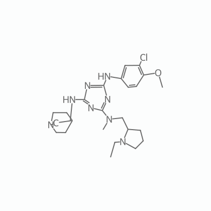 CCN1CCCC1CN(C)c1nc(Nc2ccc(OC)c(Cl)c2)nc(NC2CN3CCC2CC3)n1